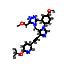 COCc1nnc2n1Cc1c(C#Cc3ccc(OC(C)C)nc3)ncn1-c1ccc(OC)cc1-2